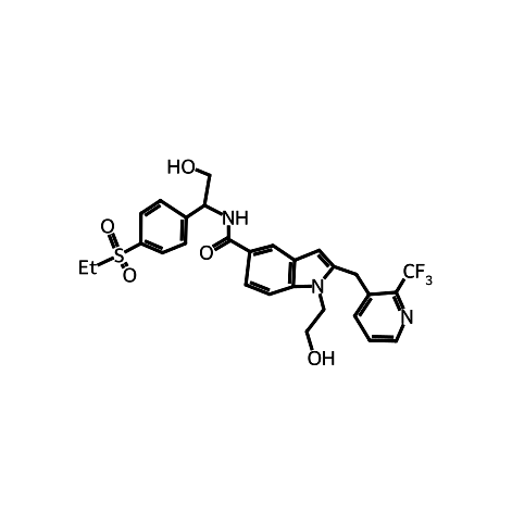 CCS(=O)(=O)c1ccc(C(CO)NC(=O)c2ccc3c(c2)cc(Cc2cccnc2C(F)(F)F)n3CCO)cc1